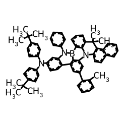 Cc1ccccc1-c1cc2c3c(c1)N1c4ccc5ccccc5c4C(C)(C)c4cccc(c41)B3N(c1ccccc1)c1cc(N(c3ccc(C(C)(C)C)cc3)c3ccc(C(C)(C)C)cc3)ccc1-2